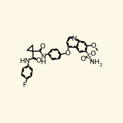 COc1cc2nccc(Oc3ccc(NC(=O)C4(C(=O)Nc5ccc(F)cc5)CC4)cc3)c2cc1S(N)(=O)=O